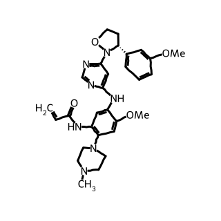 C=CC(=O)Nc1cc(Nc2cc(N3OCC[C@@H]3c3cccc(OC)c3)ncn2)c(OC)cc1N1CCN(C)CC1